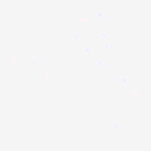 CN(C/C=C/C(=O)N1CCC[C@@H](NC2NNC(C(N)=O)=C(Nc3ccc(C(=O)N4CCOCC4)cc3)N2)C1)C1CC1